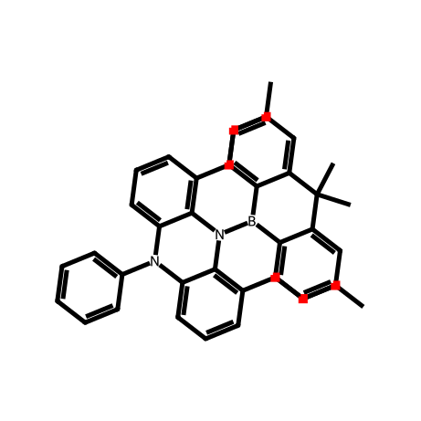 CCCCc1cccc2c1N(B1c3ccccc3C(C)(C)c3ccccc31)c1c(CCCC)cccc1N2c1ccccc1